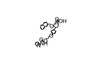 O=C(Nc1ccccn1)OCCCOc1ccc(C2CCN(C(=O)O)CC2OCc2ccc3ccccc3c2)cc1